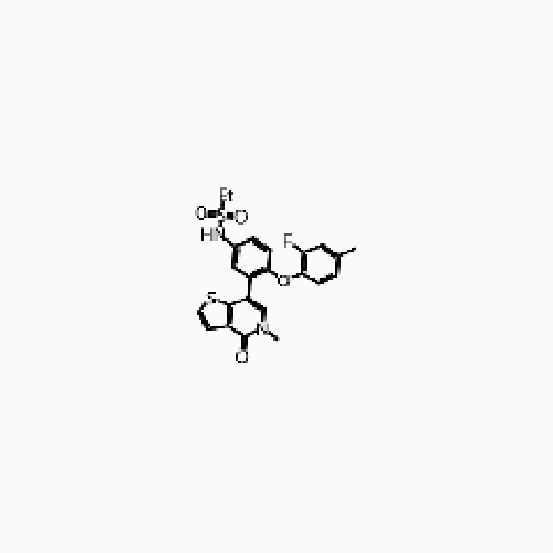 CCS(=O)(=O)Nc1ccc(Oc2ccc(C)cc2F)c(-c2cn(C)c(=O)c3ccsc23)c1